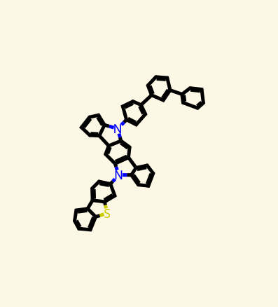 c1ccc(-c2cccc(-c3ccc(-n4c5ccccc5c5cc6c(cc54)c4ccccc4n6-c4ccc5c(c4)sc4ccccc45)cc3)c2)cc1